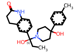 CC[C@](O)(c1ccc2c(c1)CCC(=O)N2)N1CCC(O)(c2ccc(C)cc2)CC1